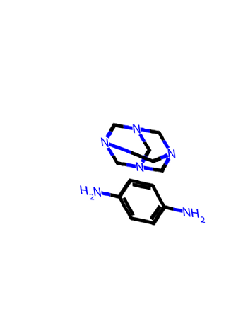 C1N2CN3CN1CN(C2)C3.Nc1ccc(N)cc1